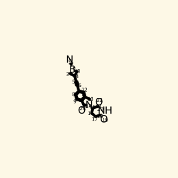 N#CB1CC(C#Cc2ccc3c(c2)CN(C2CCC(=O)NC2=O)C3=O)C1